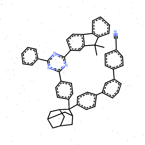 CC1(C)c2ccccc2-c2ccc(-c3nc(-c4ccccc4)nc(-c4ccc(C5(c6ccc(-c7cccc(-c8ccc(C#N)cc8)c7)cc6)C6CC7CC(C6)CC5C7)cc4)n3)cc21